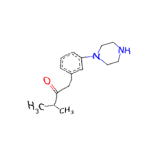 CC(C)C(=O)Cc1cccc(N2CCNCC2)c1